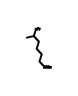 CCCC(C)CCCCNC